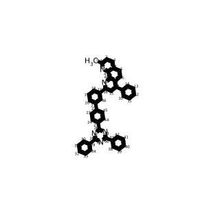 Cc1ccc2ccc3c(-c4ccccc4)cc(-c4cccc(-c5ccc(-c6nc(-c7ccccc7)nc(-c7ccccc7)n6)cc5)c4)nc3c2n1